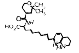 CC1(C)C[C@@H](C(=O)NC(CCCCCCCc2ccc3c(n2)NCCC3)C(=O)O)CCO1